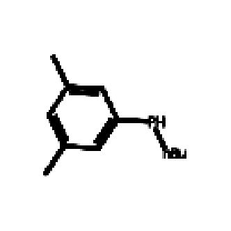 CCCCPc1cc(C)cc(C)c1